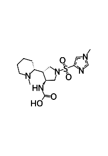 CN1CCCC[C@@H]1[C@@H]1CN(S(=O)(=O)c2cn(C)cn2)C[C@H]1NC(=O)O